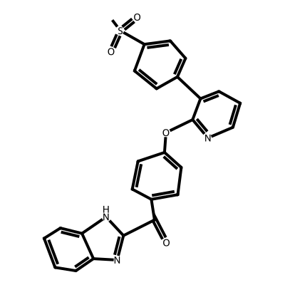 CS(=O)(=O)c1ccc(-c2cccnc2Oc2ccc(C(=O)c3nc4ccccc4[nH]3)cc2)cc1